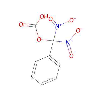 O=C(O)OC(c1ccccc1)([N+](=O)[O-])[N+](=O)[O-]